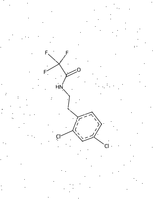 O=C(NCCc1ccc(Cl)cc1Cl)C(F)(F)F